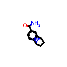 NC(=O)c1ccc2c(c1)C1CCC2N1